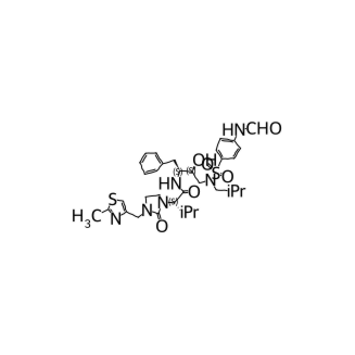 Cc1nc(CN2CCN([C@H](C(=O)N[C@@H](Cc3ccccc3)[C@@H](O)CN(CC(C)C)S(=O)(=O)c3ccc(NC=O)cc3)C(C)C)C2=O)cs1